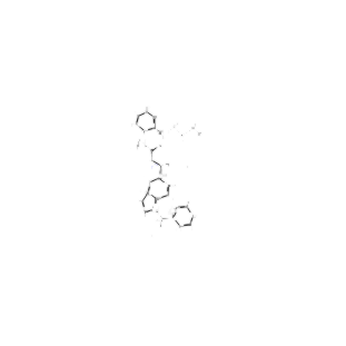 C/C(=C\C(=O)N(C)c1ccccc1OCCCC(=O)O)c1ccc2c(ccn2C(C)c2ccccc2)c1